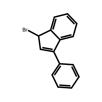 BrC1C=C(c2ccccc2)c2ccccc21